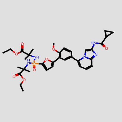 CCOC(=O)C(C)(C)NP(=O)(NC(C)(C)C(=O)OCC)c1ccc(-c2cc(-c3cccc4nc(NC(=O)C5CC5)cn34)ccc2OC)o1